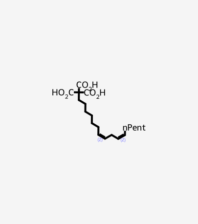 CCCCC/C=C\C/C=C\CCCCCCC(C(=O)O)(C(=O)O)C(=O)O